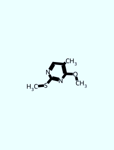 COc1nc(SC)ncc1C